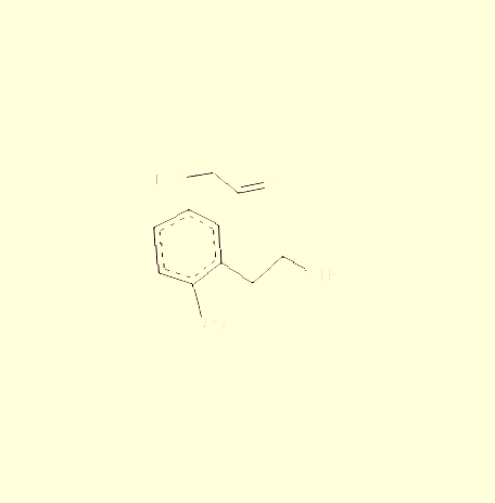 CCC=O.CCCCc1ccccc1CCC=O